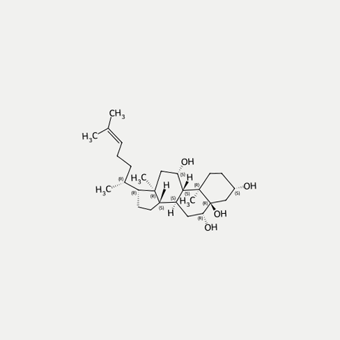 CC(C)=CCC[C@@H](C)[C@H]1CC[C@H]2[C@@H]3C[C@@H](O)[C@@]4(O)C[C@@H](O)CC[C@]4(C)[C@H]3[C@@H](O)C[C@]12C